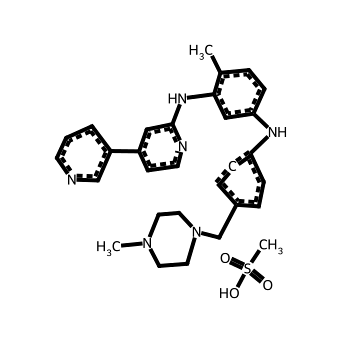 CS(=O)(=O)O.Cc1ccc(Nc2ccc(CN3CCN(C)CC3)cc2)cc1Nc1cc(-c2cccnc2)ccn1